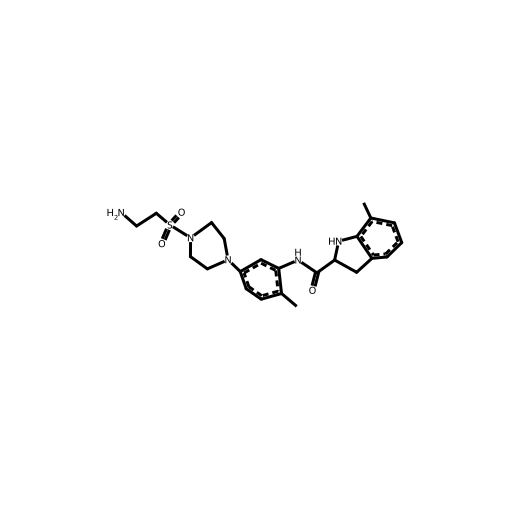 Cc1ccc(N2CCN(S(=O)(=O)CCN)CC2)cc1NC(=O)C1Cc2cccc(C)c2N1